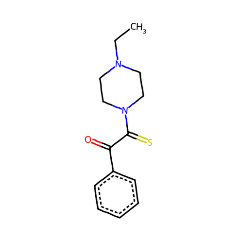 CCN1CCN(C(=S)C(=O)c2ccccc2)CC1